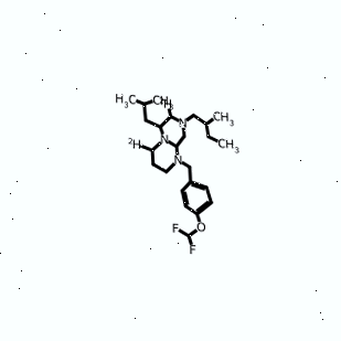 [2H]C1C(CC(C)C)N2C([2H])CCN(Cc3ccc(OC(F)F)cc3)C2CN1CC(C)CC